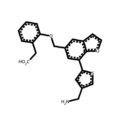 NCc1csc(-c2cc(COc3ccccc3CC(=O)O)cc3ccoc23)c1